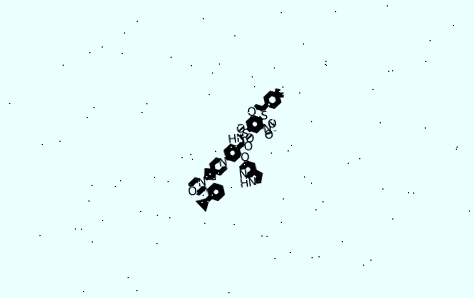 CC1(C)CCC(C2COc3cc(S(=O)(=O)NC(=O)c4ccc(N5CCC6(CC5)CC(N5CCOC[C@H]5c5ccccc5C5CC5)C6)cc4Oc4cnc5[nH]ccc5c4)cc([N+](=O)[O-])c3S2)CC1